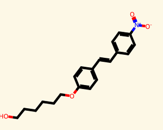 O=[N+]([O-])c1ccc(C=Cc2ccc(OCCCCCCO)cc2)cc1